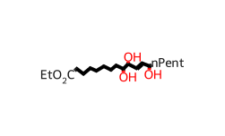 CCCCCC(O)C=CC(O)C(O)CCCCCCCC(=O)OCC